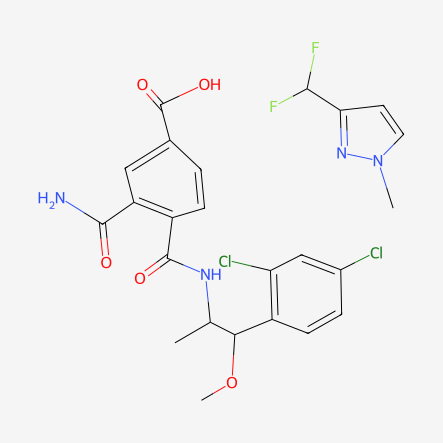 COC(c1ccc(Cl)cc1Cl)C(C)NC(=O)c1ccc(C(=O)O)cc1C(N)=O.Cn1ccc(C(F)F)n1